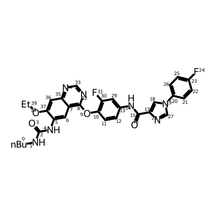 CCCCNC(=O)Nc1cc2c(Oc3ccc(NC(=O)c4cn(-c5ccc(F)cc5)cn4)cc3F)ncnc2cc1OCC